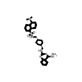 CN(C)c1cccc2c(S(=O)(=O)NC[C@H]3CC[C@H](CNc4nc(NN)c5ccccc5n4)CC3)cccc12